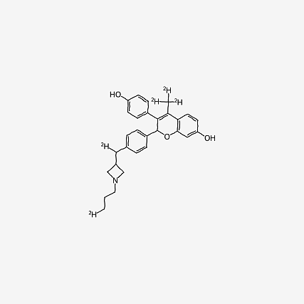 [2H]CCCN1CC(C([2H])c2ccc(C3Oc4cc(O)ccc4C(C([2H])([2H])[2H])=C3c3ccc(O)cc3)cc2)C1